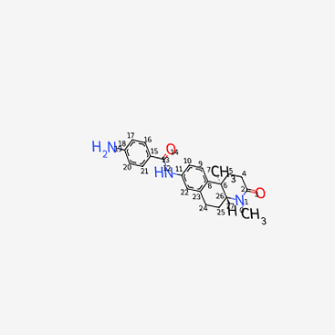 CN1C(=O)CC[C@]2(C)c3ccc(NC(=O)c4ccc(N)cc4)cc3CC[C@@H]12